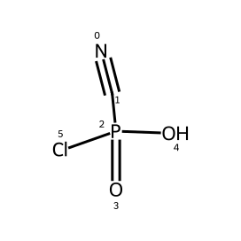 N#CP(=O)(O)Cl